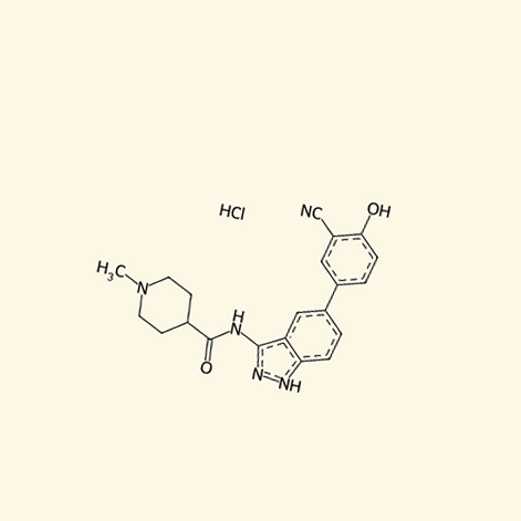 CN1CCC(C(=O)Nc2n[nH]c3ccc(-c4ccc(O)c(C#N)c4)cc23)CC1.Cl